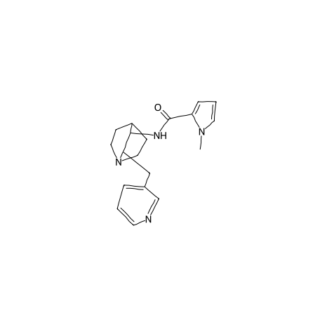 Cn1cccc1C(=O)NC1C2CCN(CC2)C1Cc1cccnc1